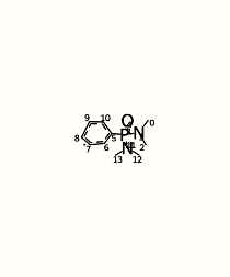 CN(C)P(=O)(c1c[c]ccc1)N(C)C